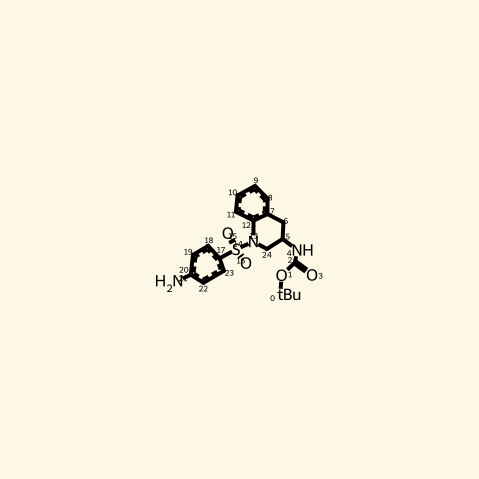 CC(C)(C)OC(=O)NC1Cc2ccccc2N(S(=O)(=O)c2ccc(N)cc2)C1